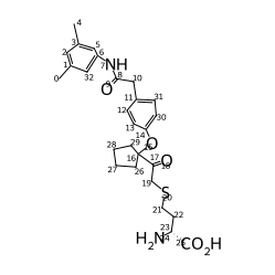 Cc1cc(C)cc(NC(=O)Cc2ccc(OC3(C(=O)CSCC[C@@H](N)C(=O)O)CCCC3)cc2)c1